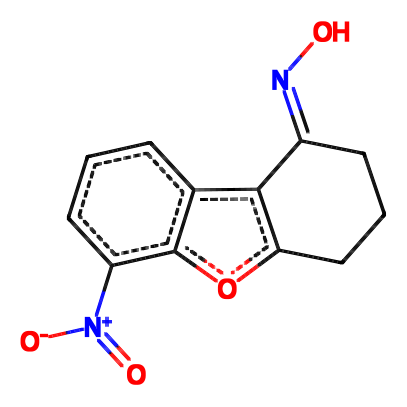 O=[N+]([O-])c1cccc2c3c(oc12)CCCC3=NO